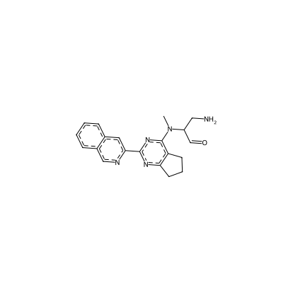 CN(c1nc(-c2cc3ccccc3cn2)nc2c1CCC2)C(C=O)CN